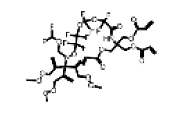 C=CC(=O)OCC(COC(=O)C=C)(COC(=O)C=C)NC(=O)C(F)(F)OC(F)(F)OC(F)(F)C(F)(F)ON(COC(F)F)C(C(=C)COOC)(C(=C)COOC)C(=C)COOC